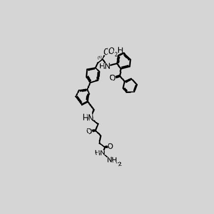 NNC(=O)CCC(=O)CNCc1cccc(-c2ccc(C[C@H](Nc3ccccc3C(=O)c3ccccc3)C(=O)O)cc2)c1